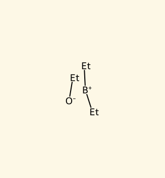 CC[B+]CC.CC[O-]